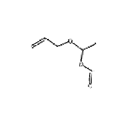 C=CCOC(C)O[C]=O